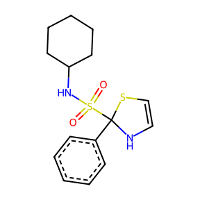 O=S(=O)(NC1CCCCC1)C1(c2ccccc2)NC=CS1